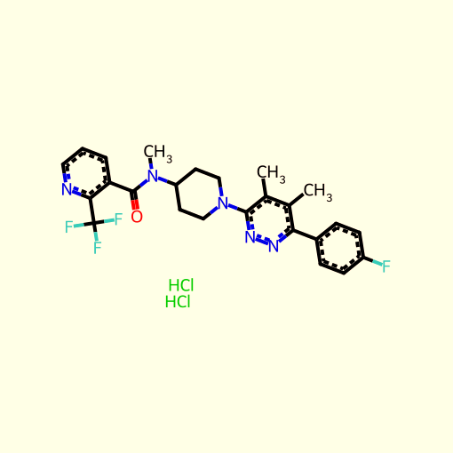 Cc1c(-c2ccc(F)cc2)nnc(N2CCC(N(C)C(=O)c3cccnc3C(F)(F)F)CC2)c1C.Cl.Cl